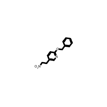 O=[N+]([O-])CCc1ccc(OCc2ccccc2)nc1